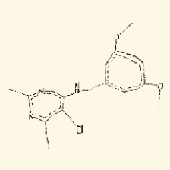 COc1cc(CNc2nc(C)nc(C)c2Cl)cc(OC)c1